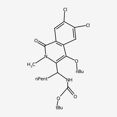 CCCCCC(NC(=O)OC(C)(C)C)c1c(OCCCC)c2cc(Cl)c(Cl)cc2c(=O)n1C